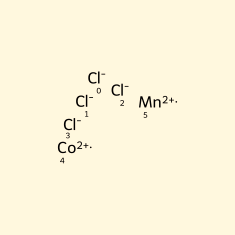 [Cl-].[Cl-].[Cl-].[Cl-].[Co+2].[Mn+2]